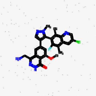 CCOc1cc(-c2cnn(C)c2-c2c(F)c(C)c3cc(Cl)cnc3c2C#N)cc2c(CN)n[nH]c(=O)c12